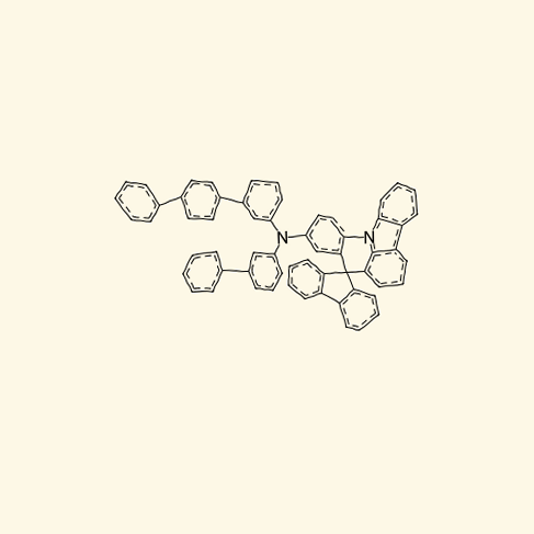 c1ccc(-c2ccc(-c3cccc(N(c4cccc(-c5ccccc5)c4)c4ccc5c(c4)C4(c6ccccc6-c6ccccc64)c4cccc6c7ccccc7n-5c46)c3)cc2)cc1